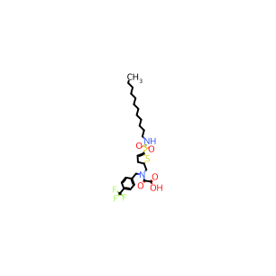 CCCCCCCCCCCCNS(=O)(=O)C1=CCC(CN(Cc2ccc(C(F)(F)F)cc2)C(=O)C(=O)O)S1